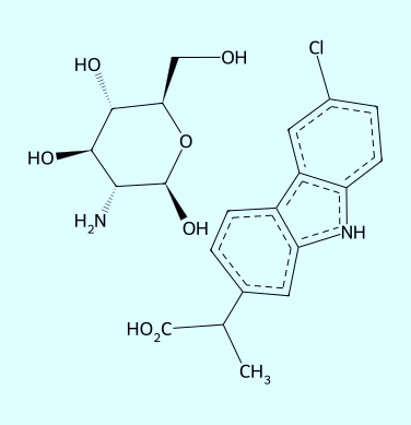 CC(C(=O)O)c1ccc2c(c1)[nH]c1ccc(Cl)cc12.N[C@@H]1[C@@H](O)[C@H](O)[C@@H](CO)O[C@H]1O